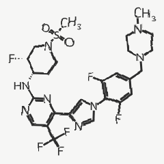 CN1CCN(Cc2cc(F)c(-n3cnc(-c4nc(N[C@H]5CCN(S(C)(=O)=O)C[C@H]5F)ncc4C(F)(F)F)c3)c(F)c2)CC1